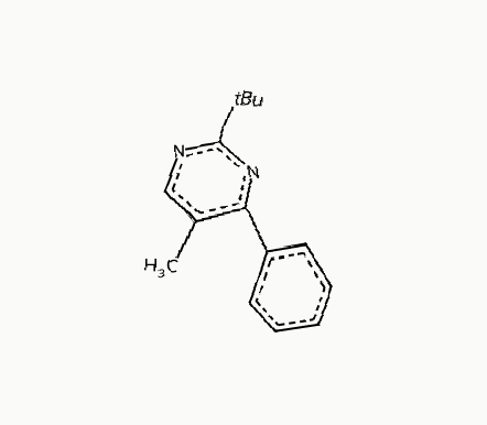 Cc1cnc(C(C)(C)C)nc1-c1ccccc1